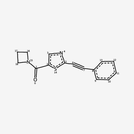 O=C(c1cnc(C#Cc2ccccc2)s1)N1CCC1